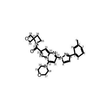 Cc1cccc(-c2ccn(-c3cc(N4CCOCC4)n4nc(C(=O)N5CCC56COC6)cc4n3)n2)c1